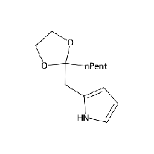 CCCCCC1(Cc2ccc[nH]2)OCCO1